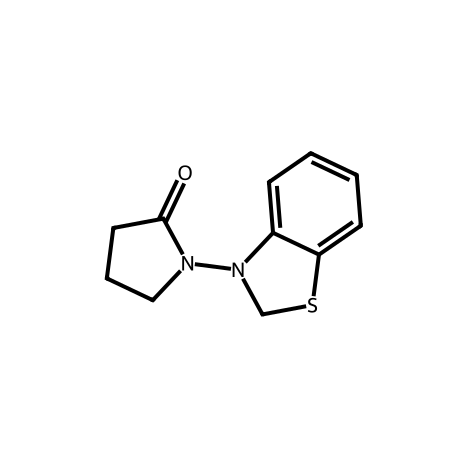 O=C1CCCN1N1CSc2ccccc21